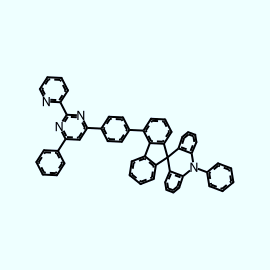 c1ccc(-c2cc(-c3ccc(-c4cccc5c4-c4ccccc4C54c5ccccc5N(c5ccccc5)c5ccccc54)cc3)nc(-c3ccccn3)n2)cc1